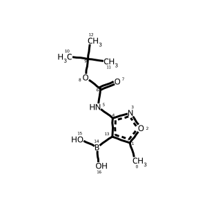 Cc1onc(NC(=O)OC(C)(C)C)c1B(O)O